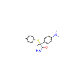 CN(C)c1ccc(C(C)(Sc2cc[c]cc2)C(N)=O)cc1